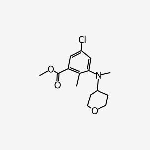 COC(=O)c1cc(Cl)cc(N(C)C2CCOCC2)c1C